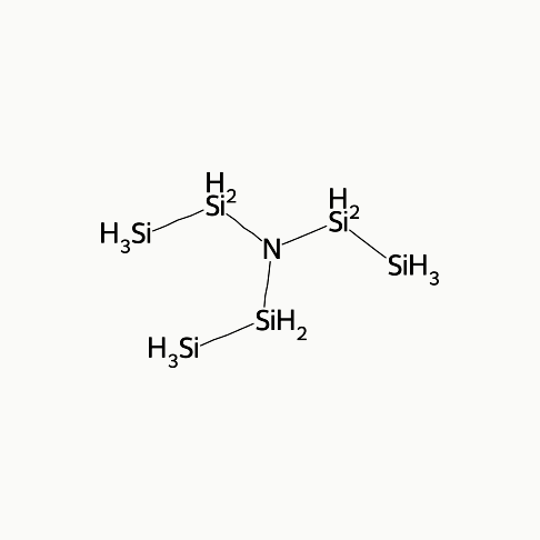 [SiH3][SiH2]N([SiH2][SiH3])[SiH2][SiH3]